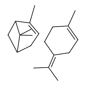 CC1=CCC(=C(C)C)CC1.CC1=CCC2CC1C2(C)C